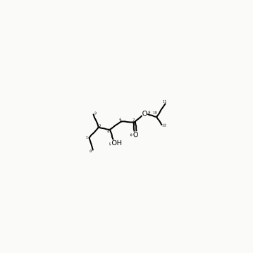 CCC(C)C(O)CC(=O)OC(C)C